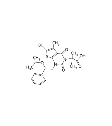 Cc1c(Br)sc2c1c(=O)n(C(C)(C)C(=O)O)c(=O)n2C[C@@H](OC(C)C)c1ccccc1